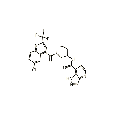 O=C(N[C@@H]1CCC[C@H](Nc2cc(C(F)(F)F)nc3ccc(Cl)cc23)C1)c1ccnc2cn[nH]c12